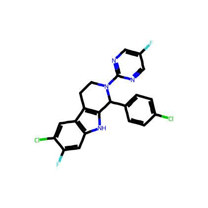 Fc1cnc(N2CCc3c([nH]c4cc(F)c(Cl)cc34)C2c2ccc(Cl)cc2)nc1